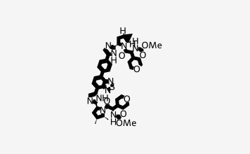 COC(=O)N[C@H](C(=O)N1[C@H](C)[C@H](C)C[C@H]1c1ncc(-c2ccc(-c3ccc(-c4cnc([C@@H]5C[C@H]6C[C@H]6N5C(=O)[C@@H](NC(=O)OC)C5CCOCC5)[nH]4)cc3)c3nsnc23)[nH]1)C1CCOCC1